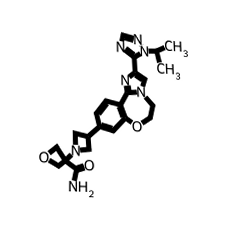 CC(C)n1ncnc1-c1cn2c(n1)-c1ccc(C3CN(C4(C(N)=O)COC4)C3)cc1OCC2